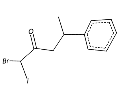 CC(CC(=O)C(Br)I)c1ccccc1